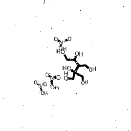 O=[N+]([O-])O.O=[N+]([O-])O.O=[N+]([O-])O.OCC(O)C(CO)C(O)(CO)CO